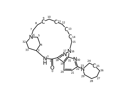 O=C1NC2CCN(CCCCCCCCCn3nc1c1ccc(N4CCCCCC4)nc13)CC2